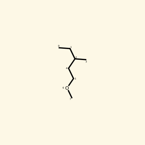 CCC(C)CCOC